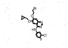 Fc1ccc(Nc2ncnc3cc(OCCBr)c(OCC4CC4)cc23)cc1Cl